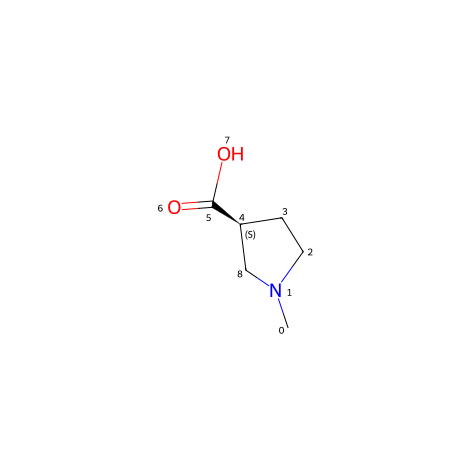 CN1CC[C@H](C(=O)O)C1